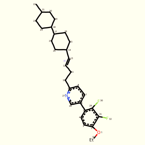 CCOc1ccc(-c2ccc(CC/C=C/C3CCC(C4CCC(C)CC4)CC3)nc2)c(F)c1F